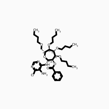 CCCCOC[C@H]1O[C@@H](Nc2ncnc(Cl)c2N)[C@H](OC(=O)c2ccccc2)[C@H](OCCCC)[C@@H](OCCCC)[C@@H]1OCCCC